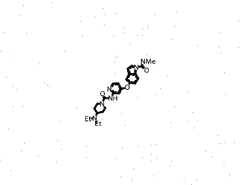 CCN(CC)C1CCN(C(=O)Nc2cc(Oc3ccc4c(ccn4C(=O)NC)c3)ccn2)CC1